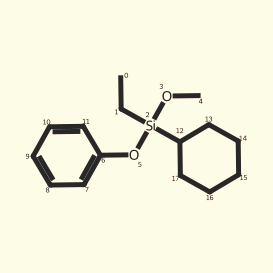 CC[Si](OC)(Oc1ccccc1)C1CCCCC1